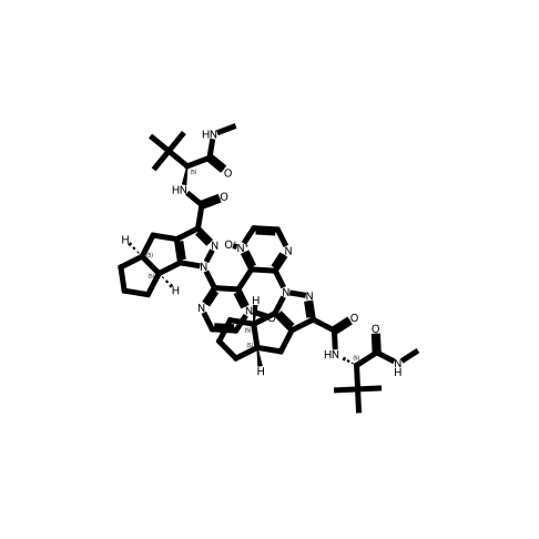 CNC(=O)[C@@H](NC(=O)c1nn(-c2ncc[n+]([O-])c2-c2c(-n3nc(C(=O)N[C@H](C(=O)NC)C(C)(C)C)c4c3[C@H]3CCC[C@H]3C4)ncc[n+]2[O-])c2c1C[C@@H]1CCC[C@H]21)C(C)(C)C